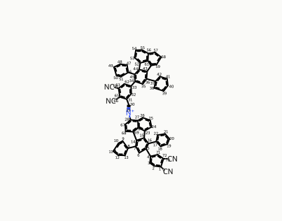 N#Cc1ccc(-c2cc(-c3ccccc3)c3c(c2-c2ccccc2)-c2cccc4c([N+]#Cc5cc(-c6cc(-c7ccccc7)c7c(c6-c6ccccc6)-c6cccc8cccc-7c68)cc(C#N)c5C#N)ccc-3c24)cc1C#N